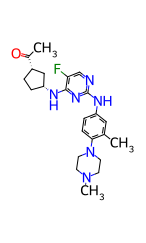 CC(=O)[C@H]1CC[C@@H](Nc2nc(Nc3ccc(N4CCN(C)CC4)c(C)c3)ncc2F)C1